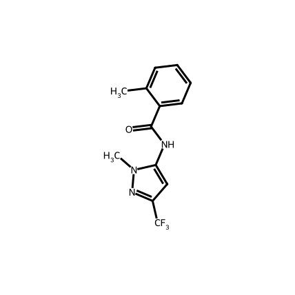 Cc1ccccc1C(=O)Nc1cc(C(F)(F)F)nn1C